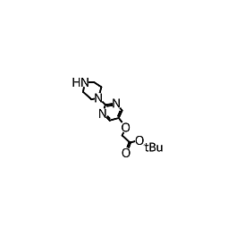 CC(C)(C)OC(=O)COc1cnc(N2CCNCC2)nc1